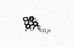 NC(=O)c1ccc(OCC(=O)O)c(F)c1-c1c(Cl)c(F)cc2c1CC1(c3ccccc3)CCCCC1C2